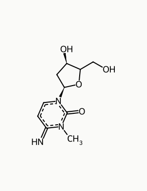 Cn1c(=N)ccn([C@H]2C[C@@H](O)C(CO)O2)c1=O